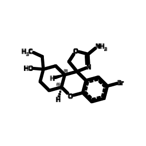 CCC1(O)CC[C@@H]2Oc3ccc(Br)cc3C3(COC(N)=N3)[C@H]2C1